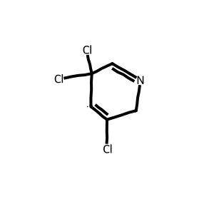 ClC1=[C]C(Cl)(Cl)C=NC1